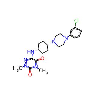 Cn1nc(N[C@H]2CC[C@@H](N3CCN(c4cccc(Cl)c4)CC3)CC2)c(=O)n(C)c1=O